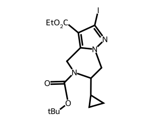 CCOC(=O)c1c(I)nn2c1CN(C(=O)OC(C)(C)C)C(C1CC1)C2